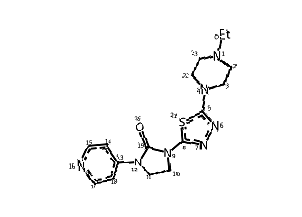 CCN1CCN(c2nnc(N3CCN(c4ccncc4)C3=O)s2)CC1